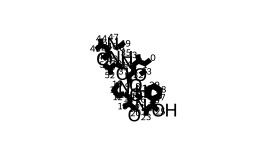 CCC(C)C(C(CC(=O)N1CCCC1C(OC)C(C)C(=O)NC(C)C(O)c1ccccc1)OC)N(C)C(=O)C(NC(=O)C(C(C)C)N(C)CC)C(C)C